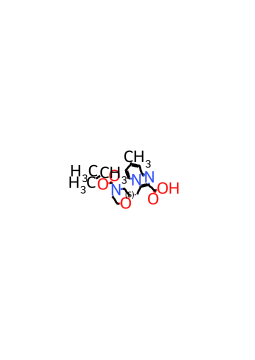 Cc1ccn2c(C[C@H]3CN(C(=O)OC(C)(C)C)CCO3)c(C(=O)O)nc2c1